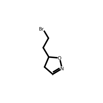 BrCCC1C[C]=NO1